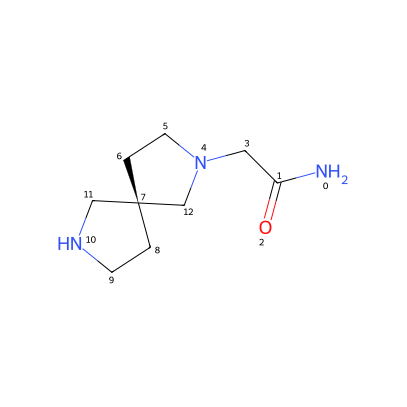 NC(=O)CN1CC[C@]2(CCNC2)C1